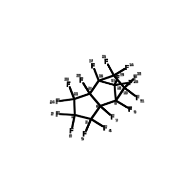 FC1(F)C(F)(F)C2(F)C3(F)C(F)(F)C(F)(F)C(F)(C3(F)F)C2(F)C1(F)F